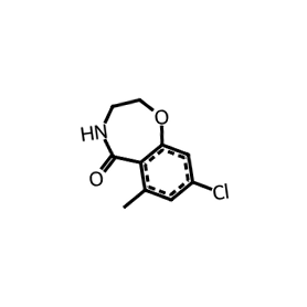 Cc1cc(Cl)cc2c1C(=O)NCCO2